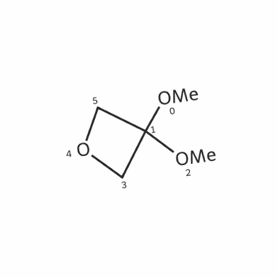 COC1(OC)COC1